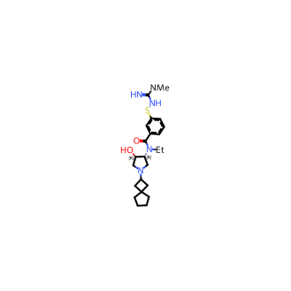 CCN(C(=O)c1cccc(SNC(=N)NC)c1)[C@@H]1CN(C2CC3(CCCC3)C2)C[C@H]1O